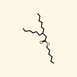 CCCCCCOC(=O)CC(CCCCCC)CCCCCC